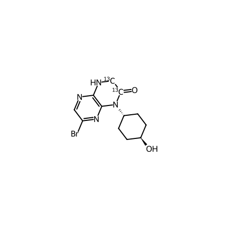 O=[13C]1[13CH2]Nc2ncc(Br)nc2N1[C@H]1CC[C@H](O)CC1